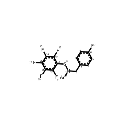 CC(=O)N(Cc1ccc(F)cc1)Sc1c(F)c(F)c(F)c(F)c1F